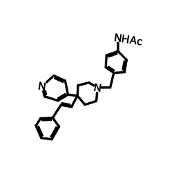 CC(=O)Nc1ccc(CN2CCC(/C=C/c3ccccc3)(c3ccncc3)CC2)cc1